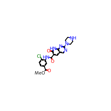 COC(=O)c1ccc(Cl)c(NC(=O)c2cc3cnc(N4CCNCC4)nc3[nH]c2=O)c1